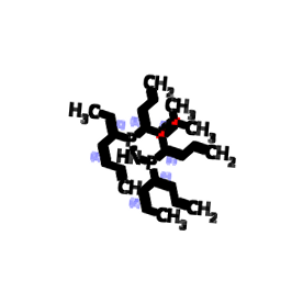 C=C/C=C\C(=C/C)P(NP(C(/C=C\C)=C/C=C)C(/C=C\C)=C/C=C)C(/C=C\C)=C/C=C